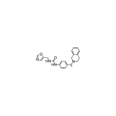 O=C(NCc1cnco1)Nc1ccc(SN2CCc3ccccc3C2)cc1